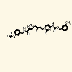 Cc1cccc(COC(=O)Nc2ccn(CCC(F)Cn3cc(C(=O)NCc4cccc(OC(F)(F)F)c4)nn3)c(=O)n2)c1